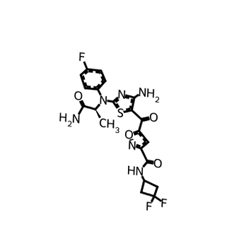 C[C@@H](C(N)=O)N(c1ccc(F)cc1)c1nc(N)c(C(=O)c2cc(C(=O)NC3CC(F)(F)C3)no2)s1